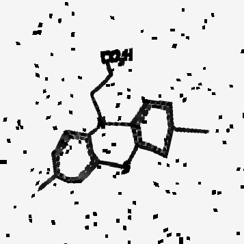 Cc1ccc2c(c1)Sc1cc(C)ccc1N2CCC(=O)O